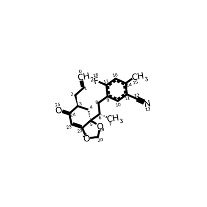 C=CC[C@H]1C[C@]2([C@@H](C)Cc3cc(C#N)c(C)cc3F)OCOC2=CC1=O